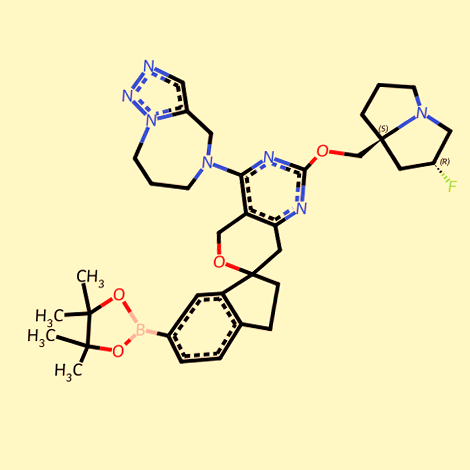 CC1(C)OB(c2ccc3c(c2)C2(CC3)Cc3nc(OC[C@@]45CCCN4C[C@H](F)C5)nc(N4CCCn5nncc5C4)c3CO2)OC1(C)C